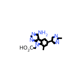 Cc1ncc(-c2cc(C)c3c(c2)c2c(N)ncnc2n3CC(=O)O)cn1